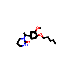 CCCCCOc1ccc(C(C)N2CCCNC2=O)cc1OC